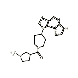 CN1CCC(C(=O)N2CCC(n3cnc4cnc5[nH]ccc5c43)CC2)C1